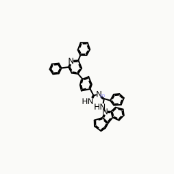 N=C(/N=C(\Nn1c2ccccc2c2ccccc21)c1ccccc1)c1ccc(-c2cc(-c3ccccc3)nc(-c3ccccc3)c2)cc1